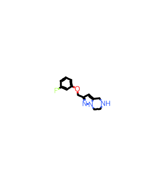 Fc1cccc(OCc2cc3n(n2)CCNC3)c1